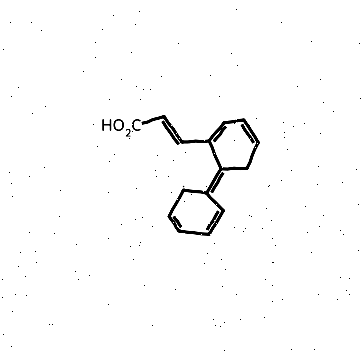 O=C(O)C=CC1=CC=CCC1=C1[CH]C=CC=C1